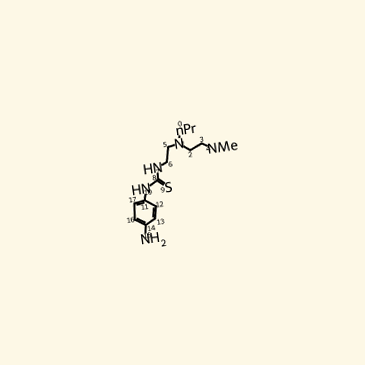 CCCN(CCNC)CCNC(=S)Nc1ccc(N)cc1